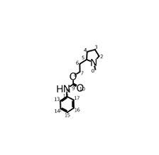 CN1CCCC1CCOC(=O)Nc1c[c]ccc1